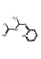 CC(/N=c1/cccc[nH]1)NC(=N)Cl